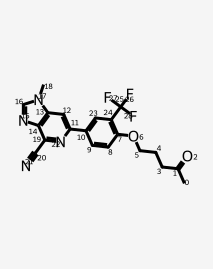 CC(=O)CCCOc1ccc(-c2cc3c(ncn3C)c(C#N)n2)cc1C(F)(F)F